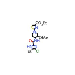 CCOC(=O)c1csc(N2CCC(NC(=O)c3nc(Cl)c(CC)[nH]3)C(OC)C2)n1